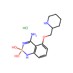 Cl.NC1=NS(O)(O)Nc2cccc(OCC3CCCCN3)c21